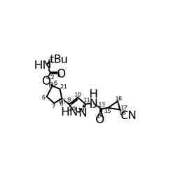 CC(C)(C)NC(=O)O[C@@H]1CC[C@H](c2cc(NC(=O)C3CC3C#N)n[nH]2)C1